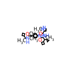 C[C@@H](NC(=O)C(C)(C)c1ccc(NC(=O)[C@@H](NC(=O)c2ccnn2C)C(C2CCC2)C2(C)CC2)cc1)C1CCC1